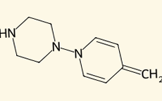 C=C1C=CN(N2CCNCC2)C=C1